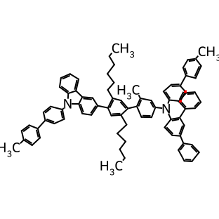 CCCCCCc1cc(-c2ccc(N(c3ccc(-c4ccc(C)cc4)cc3)c3ccc(-c4ccccc4)cc3-c3ccccc3)cc2C)c(CCCCCC)cc1-c1ccc2c(c1)c1ccccc1n2-c1ccc(-c2ccc(C)cc2)cc1